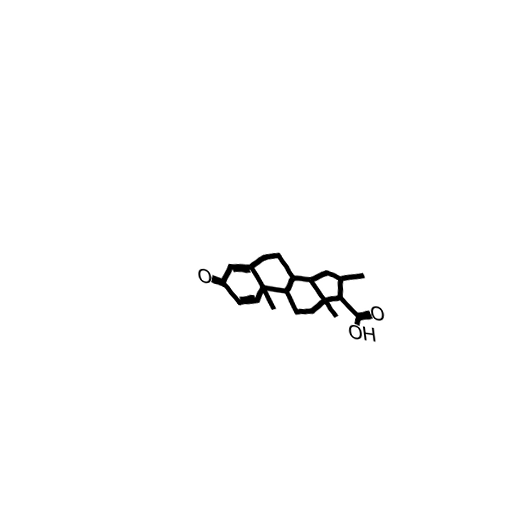 CC1CC2C3CCC4=CC(=O)C=CC4(C)C3CCC2(C)C1C(=O)O